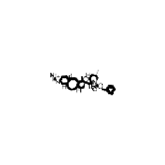 CC1=C2C[C@@H](C)[C@@]3(C)CC[C@@H](N=[N+]=[N-])C[C@H]3CCC[C@@H]2CC[C@]12O[C@@H]1C[C@H](C)CN(C(=O)OCc3ccccc3)[C@H]1[C@H]2C